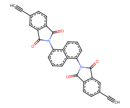 C#Cc1ccc2c(c1)C(=O)N(c1cccc3c(N4C(=O)c5ccc(C#C)cc5C4=O)cccc13)C2=O